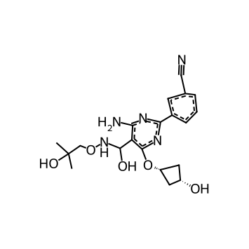 CC(C)(O)CONC(O)c1c(N)nc(-c2cccc(C#N)c2)nc1O[C@H]1C[C@@H](O)C1